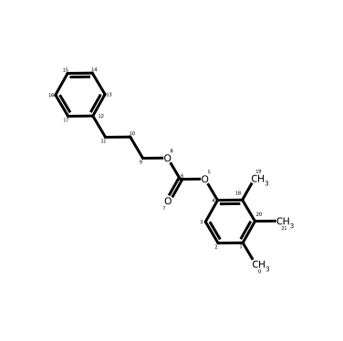 Cc1ccc(OC(=O)OCCCc2ccccc2)c(C)c1C